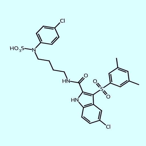 Cc1cc(C)cc(S(=O)(=O)c2c(C(=O)NCCCCN(c3ccc(Cl)cc3)S(=O)(=O)O)[nH]c3ccc(Cl)cc23)c1